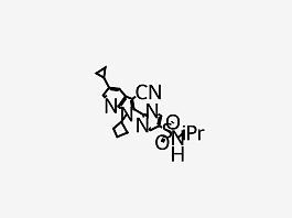 CC(C)NS(=O)(=O)c1cnc(-c2c(C#N)c3cc(C4CC4)cnc3n2C2CCC2)nc1